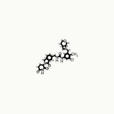 Cc1c(Cl)cc(NC(=O)NCc2ccc3c(c2)C(=O)N(C2CCC(=O)NC2=O)C3)cc1CN1CC2CCOCC21